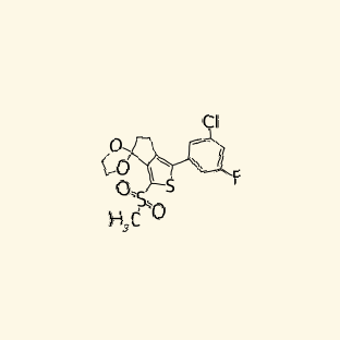 CS(=O)(=O)c1sc(-c2cc(F)cc(Cl)c2)c2c1C1(CC2)OCCO1